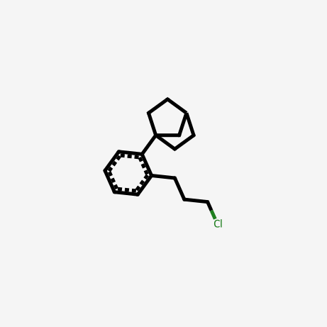 ClCCCc1ccccc1C12CCC(CC1)C2